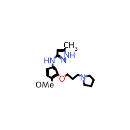 COc1ccc(Nc2cc(C)[nH]n2)cc1OCCCN1CCCC1